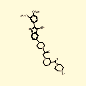 COc1ccc(-c2[nH]c3ccc(C4CCN(C(=O)CN5CCCC(C(=O)N6CCN(C(C)=O)CC6)C5)CC4)cc3c2C(C)C)cc1OC